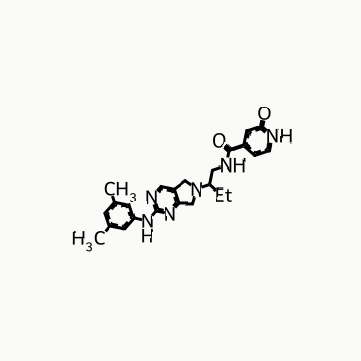 CCC(CNC(=O)c1cc[nH]c(=O)c1)N1Cc2cnc(Nc3cc(C)cc(C)c3)nc2C1